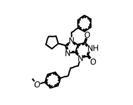 COc1ccc(CCCn2c(=O)[nH]c(=O)c3c2nc(C2CCCC2)n3Cc2ccccc2)cc1